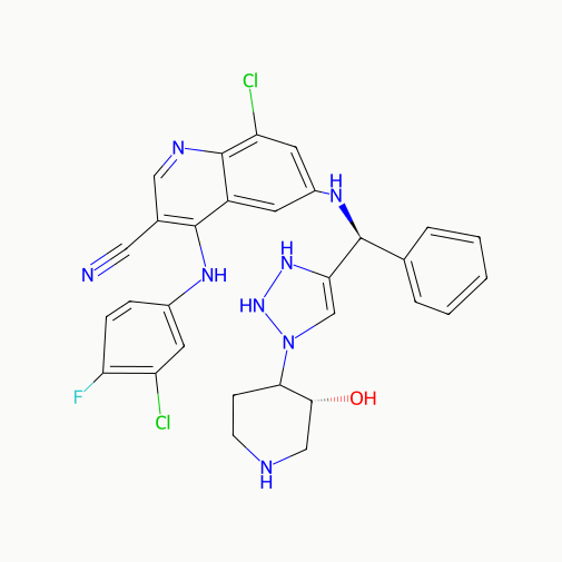 N#Cc1cnc2c(Cl)cc(N[C@H](C3=CN(C4CCNC[C@H]4O)NN3)c3ccccc3)cc2c1Nc1ccc(F)c(Cl)c1